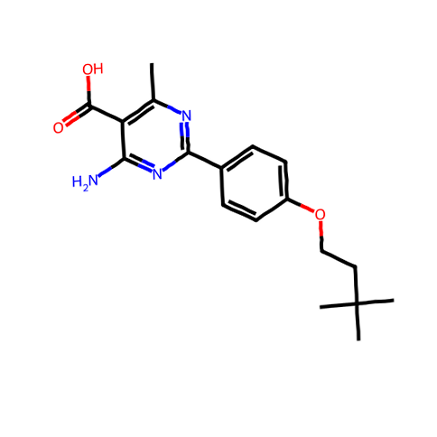 Cc1nc(-c2ccc(OCCC(C)(C)C)cc2)nc(N)c1C(=O)O